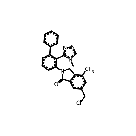 Cn1cnnc1-c1c(-c2ccccc2)cccc1N1Cc2c(cc(CCl)cc2C(F)(F)F)C1=O